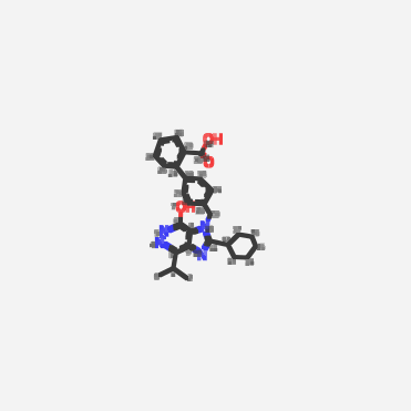 CC(C)c1nnc(O)c2c1nc(C1CCCCC1)n2Cc1ccc(-c2ccccc2C(=O)O)cc1